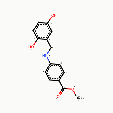 CCCCCCCCCCOC(=O)c1ccc(NCc2cc(O)ccc2O)cc1